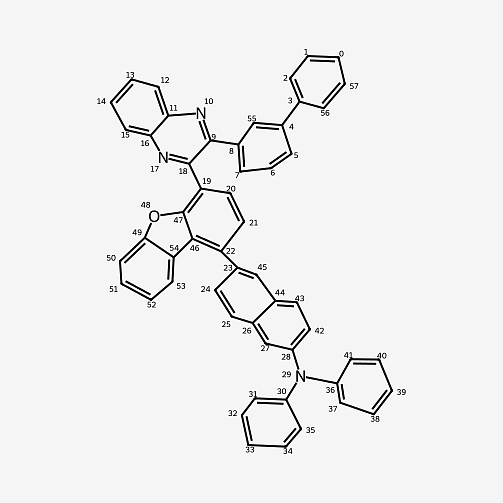 c1ccc(-c2cccc(-c3nc4ccccc4nc3-c3ccc(-c4ccc5cc(N(c6ccccc6)c6ccccc6)ccc5c4)c4c3oc3ccccc34)c2)cc1